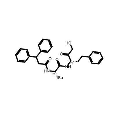 CCC(C)[C@H](NC(=O)CC(c1ccccc1)c1ccccc1)C(=O)N[C@@H](CCc1ccccc1)C(=O)CO